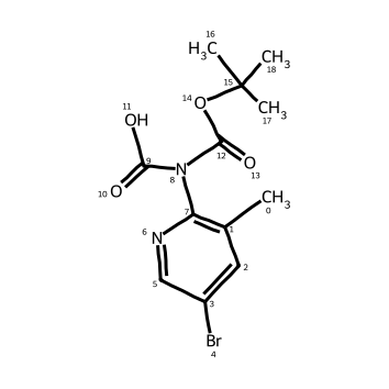 Cc1cc(Br)cnc1N(C(=O)O)C(=O)OC(C)(C)C